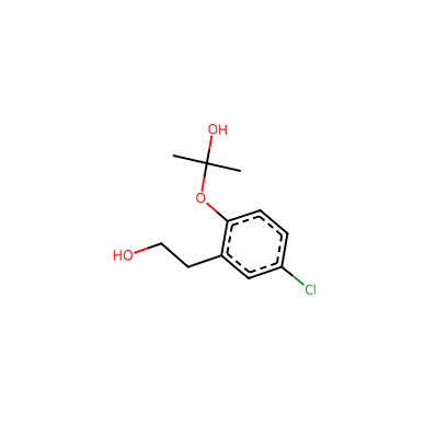 CC(C)(O)Oc1ccc(Cl)cc1CCO